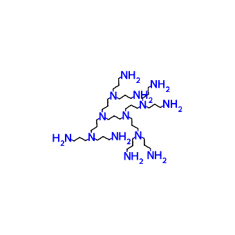 NCCCN(CCCN)CCCN(CCCN(CCCN)CCCN)CCCN(CCCN(CCCN)CCCN)CCCN(CCCN)CCCN